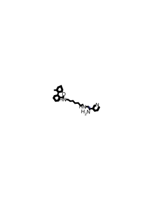 Cc1ccccc1-c1ccccc1C(=O)NCCCCCCCN/C=C(\N)c1cccnc1